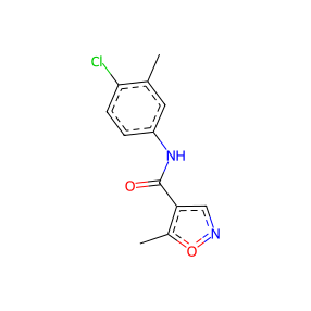 Cc1cc(NC(=O)c2cnoc2C)ccc1Cl